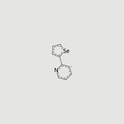 [c]1cccnc1-c1ccc[se]1